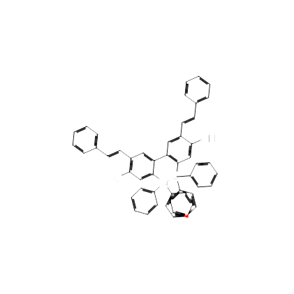 Cc1cc2c(cc1/C=C/c1ccccc1)-c1cc(/C=C/c3ccccc3)c(C)cc1[Si](c1ccccc1)(c1ccccc1)[Si]2(c1ccccc1)c1ccccc1